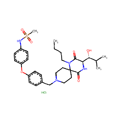 CCCCN1C(=O)[C@@H]([C@H](O)C(C)C)NC(=O)C12CCN(Cc1ccc(Oc3ccc(NS(C)(=O)=O)cc3)cc1)CC2.Cl